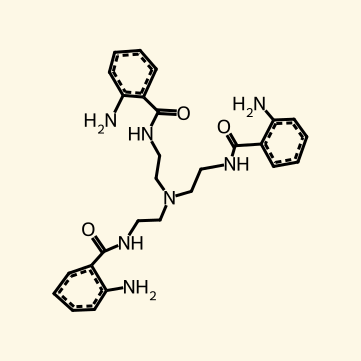 Nc1ccccc1C(=O)NCCN(CCNC(=O)c1ccccc1N)CCNC(=O)c1ccccc1N